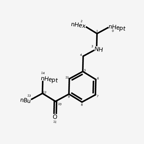 CCCCCCCC(CCCCCC)NCc1cccc(C(=O)C(CCCC)CCCCCCC)c1